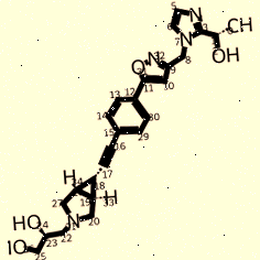 C[C@H](O)c1nccn1Cc1cc(-c2ccc(C#C[C@@H]3[C@H]4CN(C[C@H](O)CO)C[C@@H]34)cc2)on1